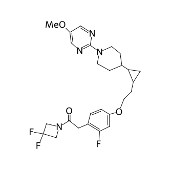 COc1cnc(N2CCC(C3CC3CCOc3ccc(CC(=O)N4CC(F)(F)C4)c(F)c3)CC2)nc1